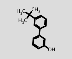 CC(C)(C)c1cccc(-c2cccc(O)c2)c1